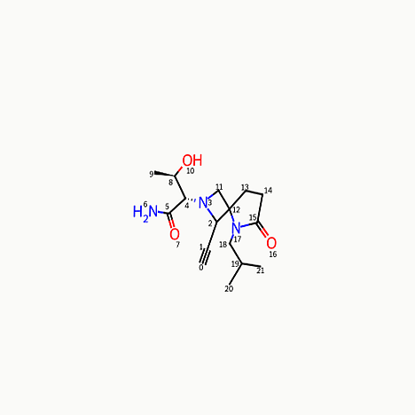 C#CC1N([C@H](C(N)=O)[C@@H](C)O)CC12CCC(=O)N2CC(C)C